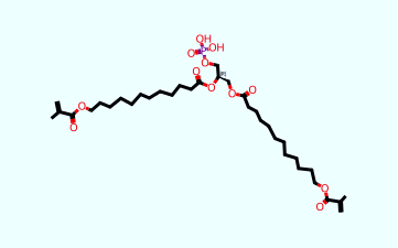 C=C(C)C(=O)OCCCCCCCCCCCC(=O)OC[C@H](COP(=O)(O)O)OC(=O)CCCCCCCCCCCOC(=O)C(=C)C